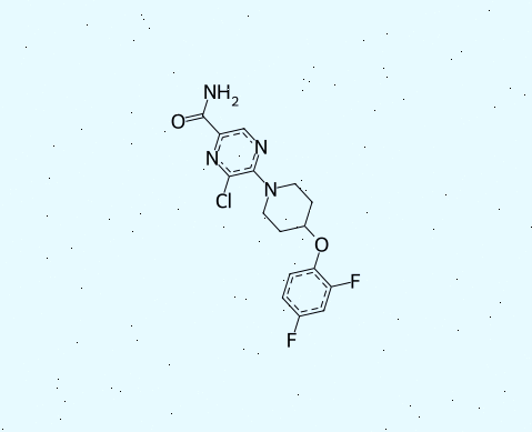 NC(=O)c1cnc(N2CCC(Oc3ccc(F)cc3F)CC2)c(Cl)n1